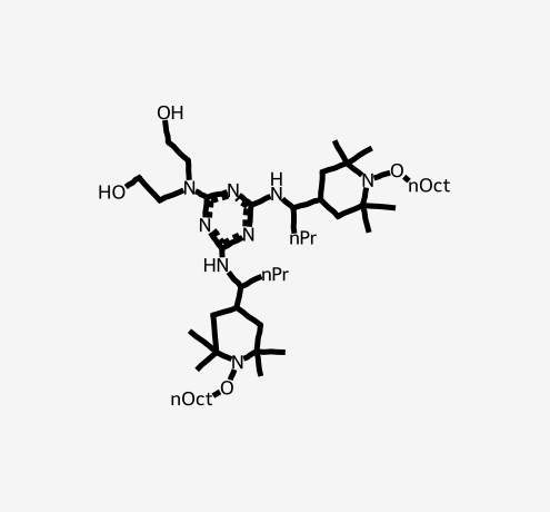 CCCCCCCCON1C(C)(C)CC(C(CCC)Nc2nc(NC(CCC)C3CC(C)(C)N(OCCCCCCCC)C(C)(C)C3)nc(N(CCO)CCO)n2)CC1(C)C